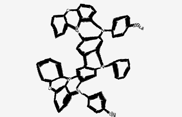 CC(C)(C)c1ccc(N2c3cc4c(cc3B3c5ccccc5Oc5cccc2c53)c2cc3c(cc2n4-c2ccccc2)N(c2ccc(C(C)(C)C)cc2)c2cccc4c2B3c2ccccc2O4)cc1